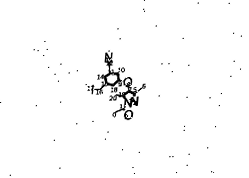 CC(=O)n1nc(C)c(Oc2cc(C#N)cc(CI)c2)c1C